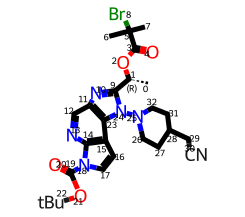 C[C@@H](OC(=O)C(C)(C)Br)c1nc2cnc3c(ccn3C(=O)OC(C)(C)C)c2n1N1CCC(CC#N)CC1